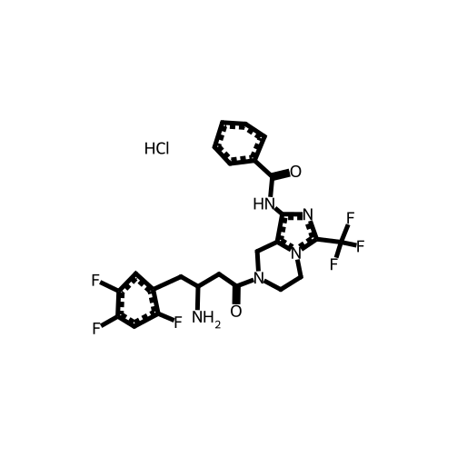 Cl.NC(CC(=O)N1CCn2c(C(F)(F)F)nc(NC(=O)c3ccccc3)c2C1)Cc1cc(F)c(F)cc1F